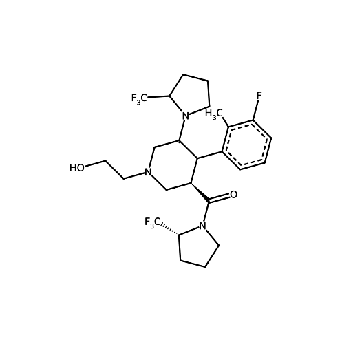 Cc1c(F)cccc1C1[C](N2CCCC2C(F)(F)F)CN(CCO)C[C@@H]1C(=O)N1CCC[C@@H]1C(F)(F)F